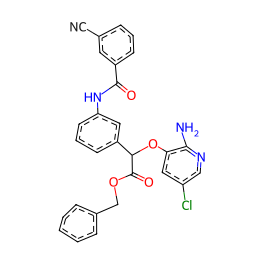 N#Cc1cccc(C(=O)Nc2cccc(C(Oc3cc(Cl)cnc3N)C(=O)OCc3ccccc3)c2)c1